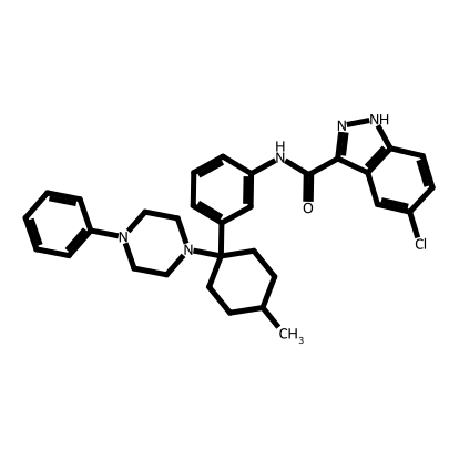 CC1CCC(c2cccc(NC(=O)c3n[nH]c4ccc(Cl)cc34)c2)(N2CCN(c3ccccc3)CC2)CC1